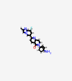 Cc1cn2cc(-c3ccc4c(=O)n(C56CCC(N)(CC5)C6)ccc4n3)cc(F)c2n1